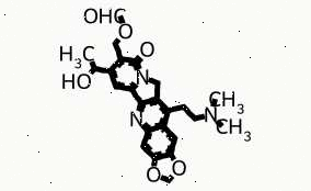 CC(O)c1cc2n(c(=O)c1COC=O)Cc1c-2nc2cc3c(cc2c1CCN(C)C)OCO3